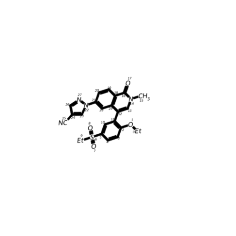 CCOc1ccc(S(=O)(=O)CC)cc1-c1cn(C)c(=O)c2ccc(-n3cc(C#N)cn3)cc12